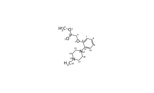 COC(=O)COc1ccccc1N1CCN(C)CC1